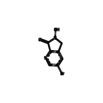 O=C1c2ncc(Br)cc2CN1O